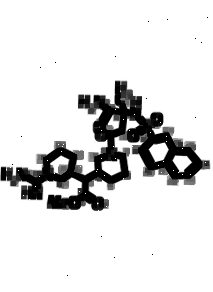 COC(=O)C(C1CCCN(C(=O)CC(C)(NS(=O)(=O)c2ccc3ccccc3c2)C(N)=O)C1)[C@@H]1CCCN(C(=N)N)C1